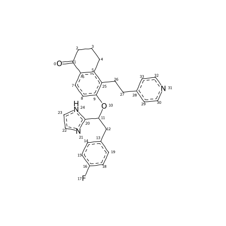 O=C1CCCc2c1ccc(OC(Cc1ccc(F)cc1)c1ncc[nH]1)c2CCc1ccncc1